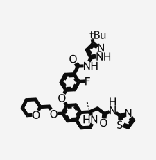 CC(C)(C)c1cc(NC(=O)c2ccc(Oc3cc4c(cc3OCC3CCCCO3)CCN[C@]4(C)CC(=O)Nc3nccs3)cc2F)[nH]n1